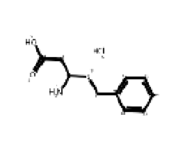 Cl.NC(CC(=O)O)SCc1ccccc1